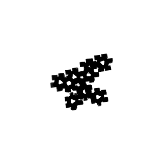 c1ccc(-c2cc(-c3ccccc3)nc(-n3c4ccc5c(cnn5-c5ccccc5)c4c4ccc5c6ccccc6ccc5c43)n2)cc1